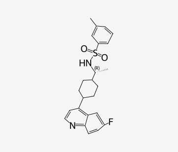 Cc1cccc(S(=O)(=O)N[C@H](C)C2CCC(c3ccnc4ccc(F)cc34)CC2)c1